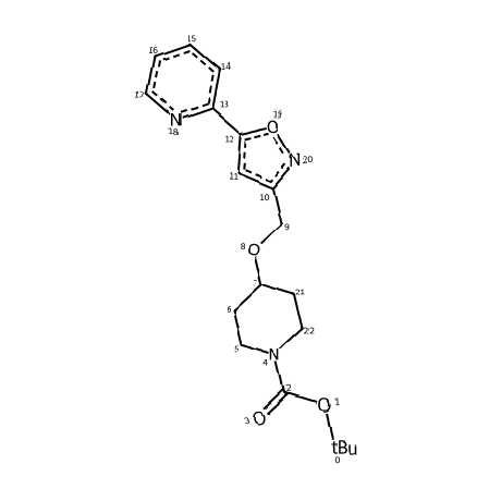 CC(C)(C)OC(=O)N1CCC(OCc2cc(-c3ccccn3)on2)CC1